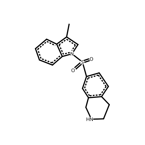 Cc1cn(S(=O)(=O)c2ccc3c(c2)CNCC3)c2ccccc12